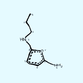 CCCNc1ccc(N)o1